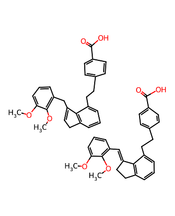 COc1cccc(C=C2CCc3cccc(CCc4ccc(C(=O)O)cc4)c32)c1OC.COc1cccc(CC2=CCc3cccc(CCc4ccc(C(=O)O)cc4)c32)c1OC